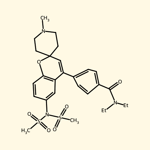 CCN(CC)C(=O)c1ccc(C2=CC3(CCN(C)CC3)Oc3ccc(N(S(C)(=O)=O)S(C)(=O)=O)cc32)cc1